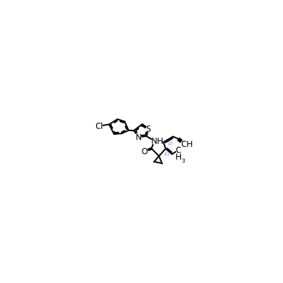 C#C/C=C\C(=C/C)C1(C(=O)Nc2nc(-c3ccc(Cl)cc3)cs2)CC1